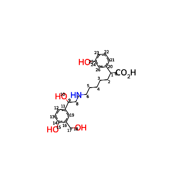 O=C(O)C(CCCCCNCC(O)c1ccc(O)c(CO)c1)c1cccc(O)c1